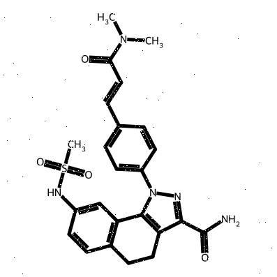 CN(C)C(=O)/C=C/c1ccc(-n2nc(C(N)=O)c3c2-c2cc(NS(C)(=O)=O)ccc2CC3)cc1